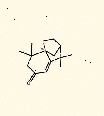 CC1(C)C2=CC(=O)CC(C)(C)[C@]23CCC1C3